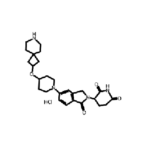 Cl.O=C1CCC(N2Cc3cc(N4CCC(OC5CC6(CCNCC6)C5)CC4)ccc3C2=O)C(=O)N1